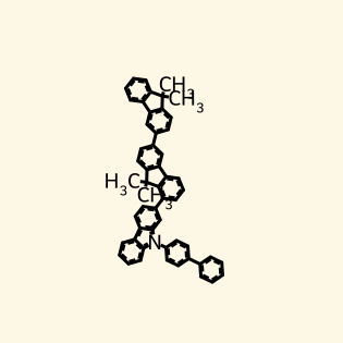 CC1(C)c2ccccc2-c2cc(-c3ccc4c(c3)-c3cccc(-c5ccc6c7ccccc7n(-c7ccc(-c8ccccc8)cc7)c6c5)c3C4(C)C)ccc21